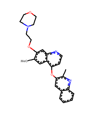 COc1cc2c(Oc3cc4ccccc4nc3C)ccnc2cc1OCCN1CCOCC1